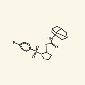 O=C(CC1CCCN1S(=O)(=O)c1ccc(F)cc1)NC12CC3CC(CC(C3)C1)C2